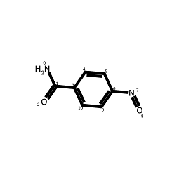 NC(=O)c1ccc(N=O)cc1